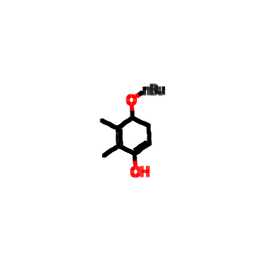 CCCCOC1CC=C(O)C(C)=C1C